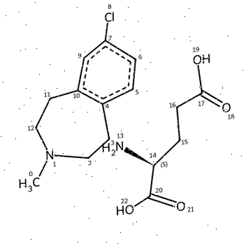 CN1CCc2ccc(Cl)cc2CC1.N[C@@H](CCC(=O)O)C(=O)O